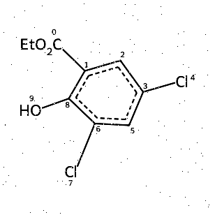 CCOC(=O)c1cc(Cl)cc(Cl)c1O